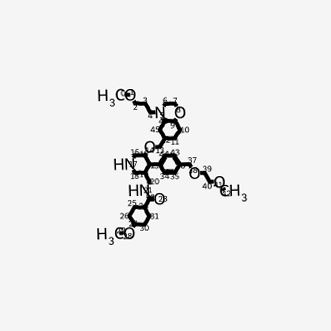 COCCCN1CCOC2CCC(COC3CNCC(CNC(=O)C4CCC(OC)CC4)C3c3ccc(COCCOC)cc3)CC21